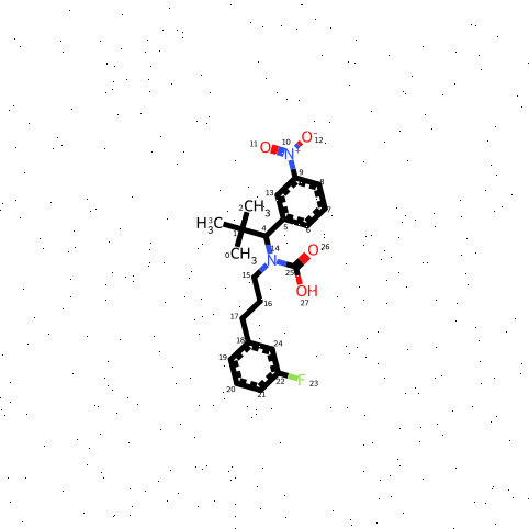 CC(C)(C)C(c1cccc([N+](=O)[O-])c1)N(CCCc1cccc(F)c1)C(=O)O